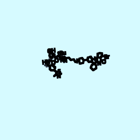 Cc1ncsc1-c1ccc([C@H](C)NC(=O)[C@@H]2C[C@@H](O)CN2C(=O)[C@@H](n2cc(CCCCN3CCC(c4ccc5c(c4)C4(CCCCC4)c4nc(=O)c6c(Br)cccc6n4-5)CC3)nn2)C(C)(C)C)cc1